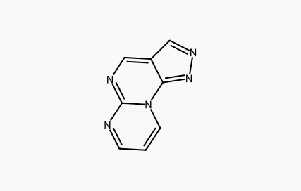 c1cnc2ncc3cnnc-3n2c1